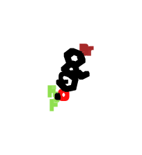 CC=C1c2cc(Br)ccc2CC12CCC(OC(F)F)CC2